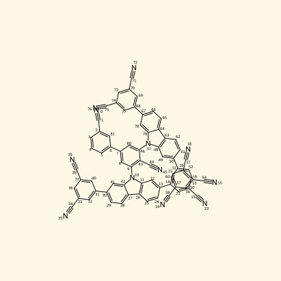 N#Cc1cccc(-c2cc(-n3c4cc(-c5cc(C#N)cc(C#N)c5)ccc4c4ccc(-c5cc(C#N)cc(C#N)c5)cc43)c(C#N)c(-n3c4cc(-c5cc(C#N)cc(C#N)c5)ccc4c4ccc(-c5cc(C#N)cc(C#N)c5)cc43)c2)c1